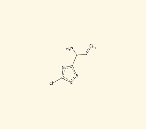 C=CC(N)c1nc(Cl)ns1